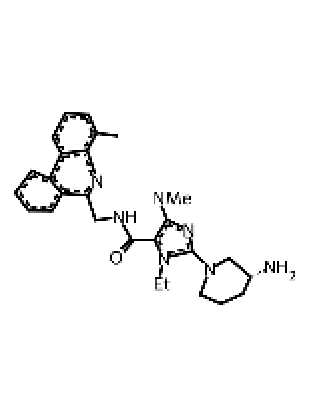 CCn1c(N2CCC[C@@H](N)C2)nc(NC)c1C(=O)NCc1nc2c(C)cccc2c2ccccc12